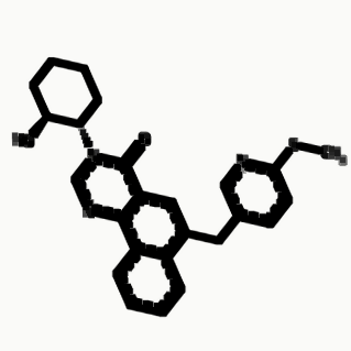 CSc1ccc(Cc2cc3c(=O)n([C@H]4CCCC[C@@H]4O)cnc3c3ccccc23)cn1